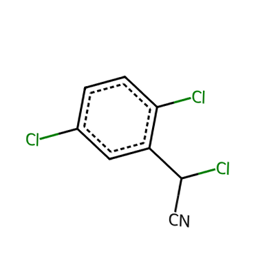 N#CC(Cl)c1cc(Cl)ccc1Cl